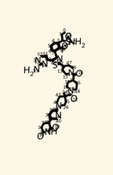 CCC(c1cccc(-c2nc(C3CCN(C(=O)C4CCN(C(=O)C5(C)CCN(c6ccc(C7CCC(=O)NC7=O)cn6)CC5)CC4)CC3)sc2-c2ccnc(N)n2)c1F)S(N)(=O)=O